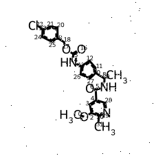 COc1cc(C(=O)N[C@@H](C)c2ccc(NC(=O)OCc3ccc(Cl)cc3)cc2)cnc1C